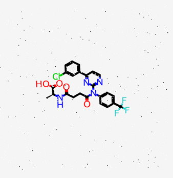 C[C@H](NC(=O)CCC(=O)N(c1ccc(C(F)(F)F)cc1)c1nccc(-c2cccc(Cl)c2)n1)C(=O)O